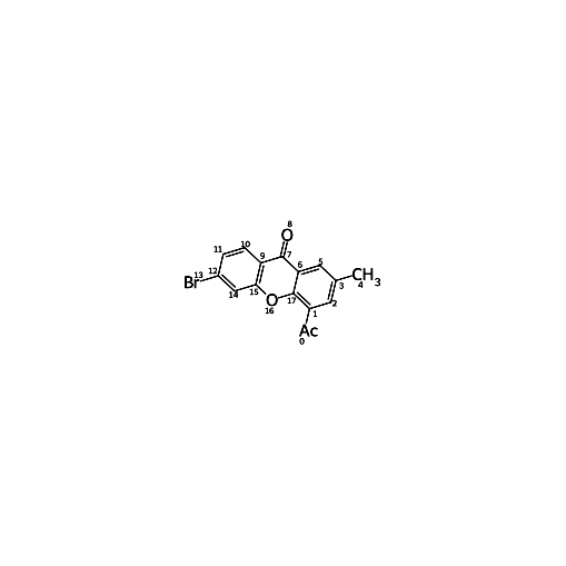 CC(=O)c1cc(C)cc2c(=O)c3ccc(Br)cc3oc12